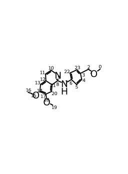 COCc1ccc(Nc2nccc3cc(OC)c(OC)cc23)cc1